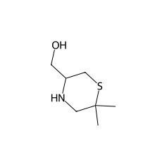 CC1(C)CNC(CO)CS1